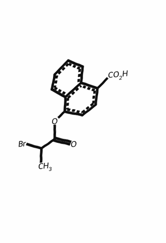 CC(Br)C(=O)Oc1ccc(C(=O)O)c2ccccc12